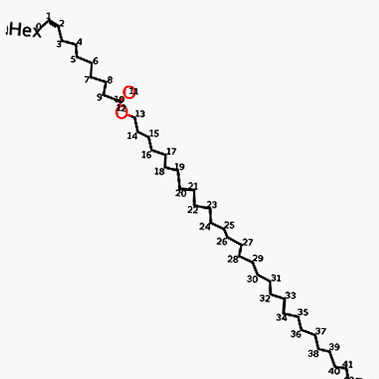 CCCCCC/C=C\CCCCCCCC(=O)OCCCCCCCCCCCCCCCCCCCCCCCCCCCCCCCCCCCCCCC